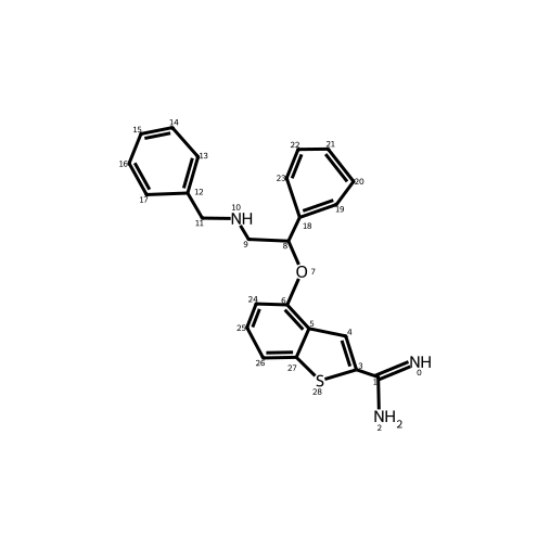 N=C(N)c1cc2c(OC(CNCc3ccccc3)c3ccccc3)cccc2s1